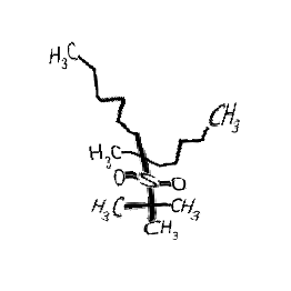 CCCCCCC(C)(CCCC)S(=O)(=O)C(C)(C)C